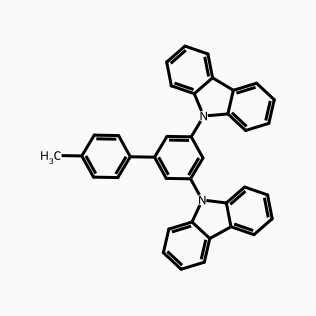 Cc1ccc(-c2cc(-n3c4ccccc4c4ccccc43)cc(-n3c4ccccc4c4ccccc43)c2)cc1